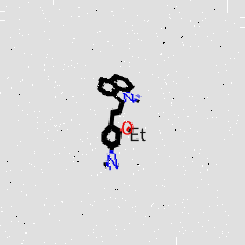 CCOc1cc(N(C)C)ccc1C=CC1=[N+](C)c2cccc3cccc1c23